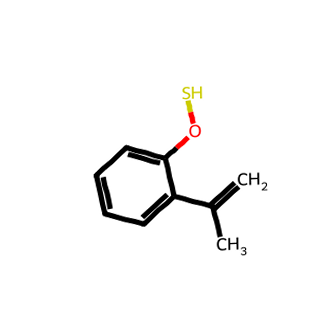 C=C(C)c1ccccc1OS